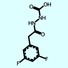 O=C(O)NNC(=O)Cc1cc(F)cc(F)c1